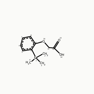 C[Si](C)(C)c1ccccc1OCC(=O)O